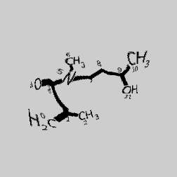 C=C(C)C(=O)N(C)CCC(C)O